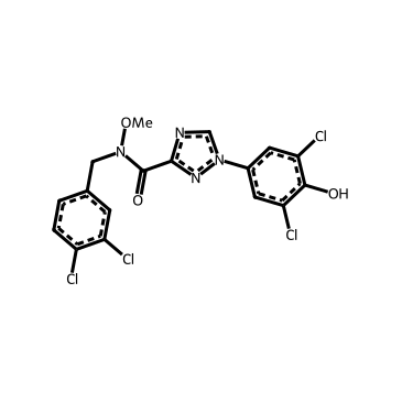 CON(Cc1ccc(Cl)c(Cl)c1)C(=O)c1ncn(-c2cc(Cl)c(O)c(Cl)c2)n1